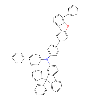 c1ccc(-c2ccc(N(c3ccc(-c4ccc5oc6c(-c7ccccc7)cccc6c5c4)cc3)c3ccc4c(c3)C(c3ccccc3)(c3ccccc3)c3ccccc3-4)cc2)cc1